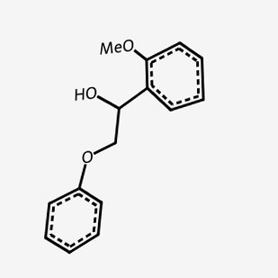 COc1ccccc1C(O)COc1ccccc1